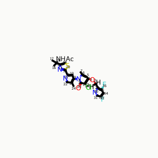 [2H]C([2H])(Oc1cc(C)n(-c2cc(-c3nc(C(C)(C)NC(C)=O)cs3)ncc2C)c(=O)c1Cl)c1ncc(F)cc1F